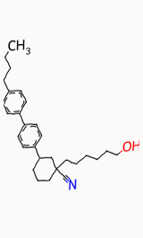 CCCCc1ccc(-c2ccc(C3CCCC(C#N)(CCCCCCO)C3)cc2)cc1